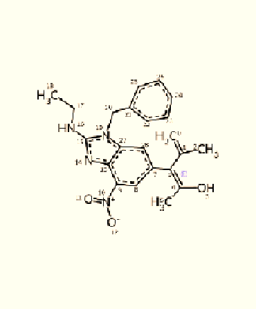 C=C(C)/C(=C(/C)O)c1cc([N+](=O)[O-])c2nc(NCC)n(Cc3ccccc3)c2c1